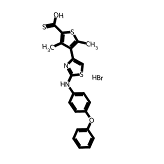 Br.Cc1sc(C(O)=S)c(C)c1-c1csc(Nc2ccc(Oc3ccccc3)cc2)n1